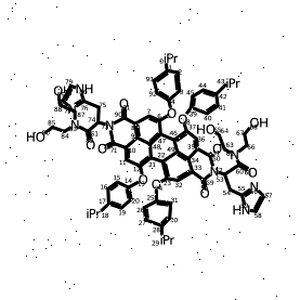 CC(C)c1ccc(Oc2cc3c4c(cc(Oc5ccc(C(C)C)cc5)c5c6c(Oc7ccc(C(C)C)cc7)cc7c8c(cc(Oc9ccc(C(C)C)cc9)c(c2c45)c86)C(=O)N(C(Cc2ncc[nH]2)C(=O)N(CCO)CCO)C7=O)C(=O)N(C(Cc2ncc[nH]2)C(=O)N(CCO)CCO)C3=O)cc1